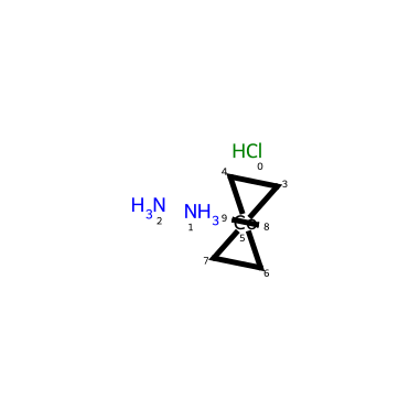 Cl.N.N.[CH2]1[CH2][Co]123([CH2][CH2]2)[CH2][CH2]3